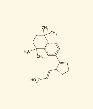 CC1(C)CCC(C)(C)c2cc(C3=CCCC3C=CC(=O)O)ccc21